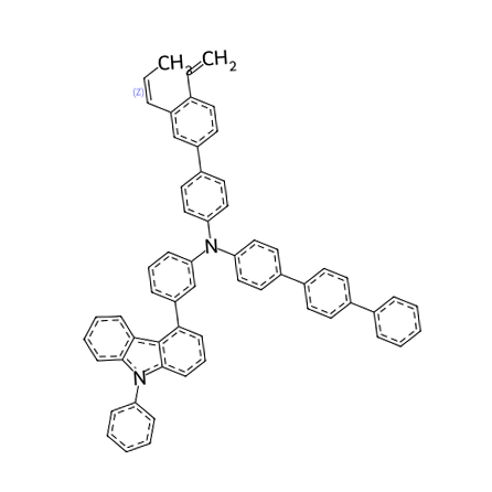 C=Cc1ccc(-c2ccc(N(c3ccc(-c4ccc(-c5ccccc5)cc4)cc3)c3cccc(-c4cccc5c4c4ccccc4n5-c4ccccc4)c3)cc2)cc1/C=C\C